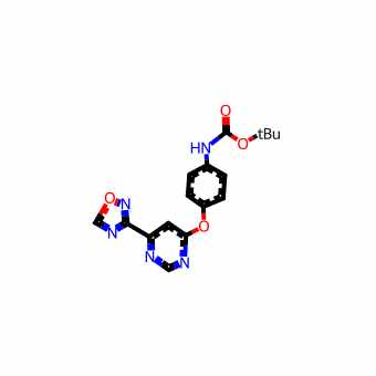 CC(C)(C)OC(=O)Nc1ccc(Oc2cc(-c3ncon3)ncn2)cc1